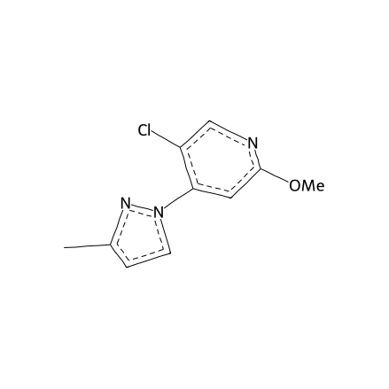 COc1cc(-n2ccc(C)n2)c(Cl)cn1